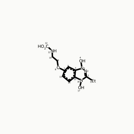 CCC1=NN(O)c2cc(OCCNC(=O)O)ccc2N1O